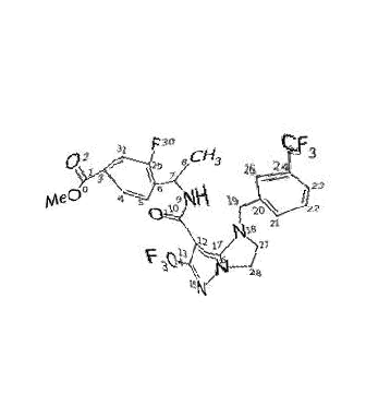 COC(=O)c1ccc(C(C)NC(=O)c2c(C(F)(F)F)nn3c2N(Cc2cccc(C(F)(F)F)c2)CC3)c(F)c1